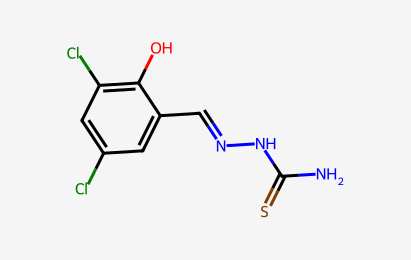 NC(=S)NN=Cc1cc(Cl)cc(Cl)c1O